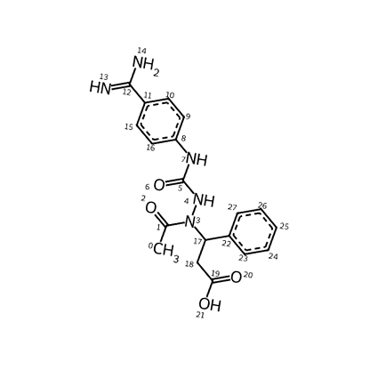 CC(=O)N(NC(=O)Nc1ccc(C(=N)N)cc1)C(CC(=O)O)c1ccccc1